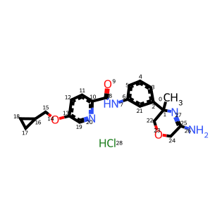 CC1(c2cccc(NC(=O)c3ccc(OCC4CC4)cn3)c2)COCC(N)=N1.Cl